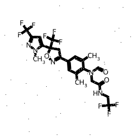 Cc1cc(C2=NOC(c3cc(C(F)(F)F)nn3C)(C(F)(F)F)C2)cc(C)c1N(C=O)CC(=O)NCC(F)(F)F